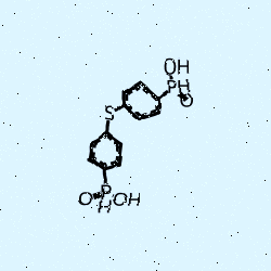 O=[PH](O)c1ccc(Sc2ccc([PH](=O)O)cc2)cc1